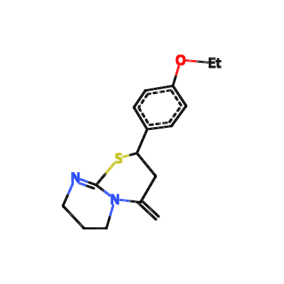 C=C1CC(c2ccc(OCC)cc2)SC2=NCCCN12